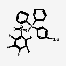 CC(C)(C)c1ccc(S(OS(=O)(=O)c2c(F)c(F)c(F)c(F)c2F)(c2ccccc2)c2ccccc2)cc1